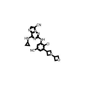 N#Cc1cc(Nc2nc(NC3CC3)c3ncc(C#N)n3n2)c(Cl)c(C2CN(C3COC3)C2)c1